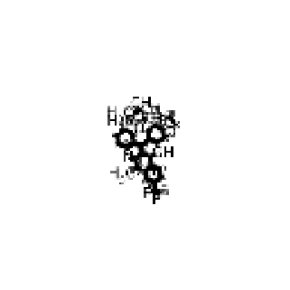 CC(C)c1nc2c(c(C3=CCC4(CC3)OCCO4)c1C(O)c1ccc(C(F)(F)F)cc1)C(O[Si](C)(C)C(C)(C)C)CCC2